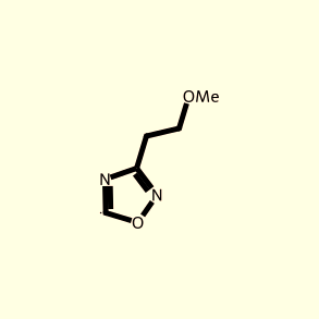 COCCc1n[c]on1